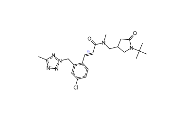 Cc1nnn(Cc2cc(Cl)ccc2/C=C/C(=O)N(C)CC2CC(=O)N(C(C)(C)C)C2)n1